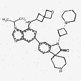 CC(C)n1cnc2cc(-c3ccc4c(c3)N([C@H]3C[C@@H](N5CCCCC5)C3)C(=O)C43CCNCC3)nc(NC3CC4(COC4)C3)c21